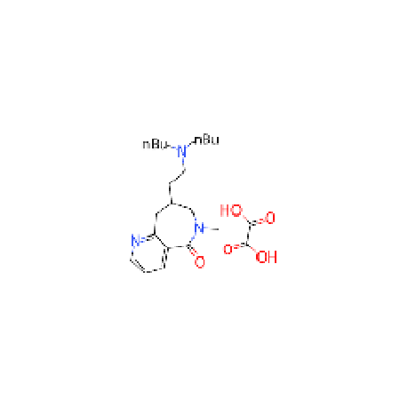 CCCCN(CCCC)CCC1Cc2ncccc2C(=O)N(C)C1.O=C(O)C(=O)O